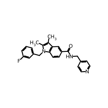 Cc1c(C)n(Cc2cccc(F)c2)c2ccc(C(=O)NCc3ccncc3)cc12